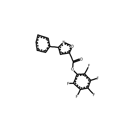 O=C(Oc1c(F)c(F)c(F)c(F)c1F)c1cc(-c2ccccc2)no1